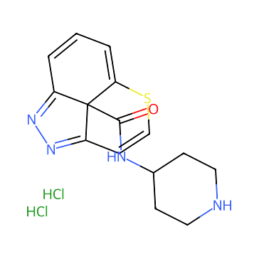 Cl.Cl.O=C(NC1CCNCC1)C12C3=CC=CC1=NN=C2C=CS3